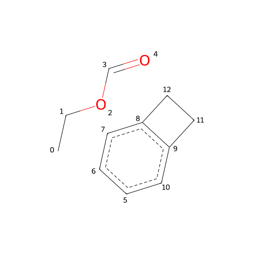 CCOC=O.c1ccc2c(c1)CC2